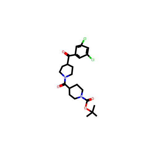 CC(C)(C)OC(=O)N1CCC(C(=O)N2CCC(C(=O)c3cc(Cl)cc(Cl)c3)CC2)CC1